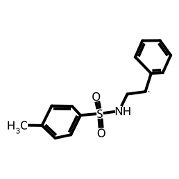 Cc1ccc(S(=O)(=O)NC[CH]c2ccccc2)cc1